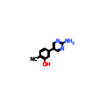 N#Cc1ccc(-c2cnc(N)nc2)cc1O